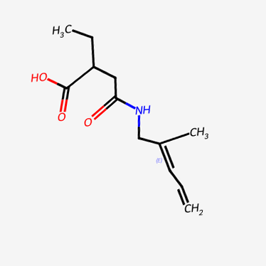 C=C/C=C(\C)CNC(=O)CC(CC)C(=O)O